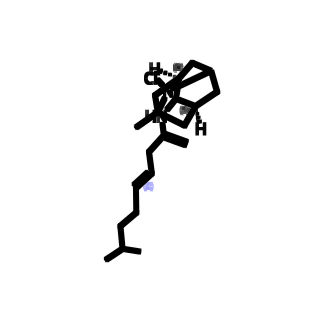 C=C(C/C=C/CCC(C)C)NC1[C@@H]2CC3C[C@H]1CC(C)(C2)N3Cl